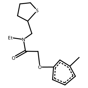 CCN(CC1CCCS1)C(=O)COc1cccc(C)c1